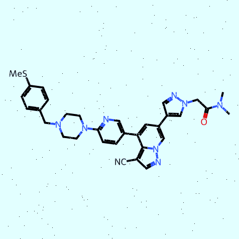 CSc1ccc(CN2CCN(c3ccc(-c4cc(-c5cnn(CC(=O)N(C)C)c5)cn5ncc(C#N)c45)cn3)CC2)cc1